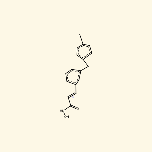 Cc1ccc(Cc2cccc(/C=C/C(=O)NO)c2)cc1